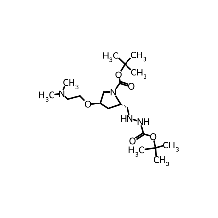 CN(C)CCO[C@@H]1C[C@@H](CNNC(=O)OC(C)(C)C)N(C(=O)OC(C)(C)C)C1